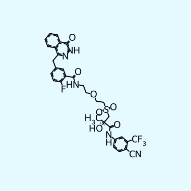 C[C@@](O)(CS(=O)(=O)CCOCCNC(=O)c1cc(Cc2n[nH]c(=O)c3ccccc23)ccc1F)C(=O)Nc1ccc(C#N)c(C(F)(F)F)c1